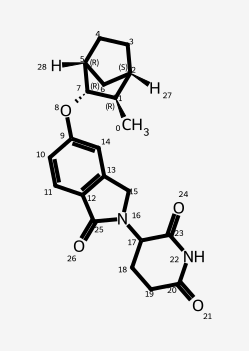 C[C@@H]1[C@H]2CC[C@H](C2)[C@H]1Oc1ccc2c(c1)CN(C1CCC(=O)NC1=O)C2=O